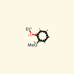 CCOc1ccccc1OC